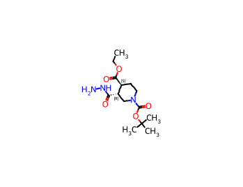 CCOC(=O)[C@H]1CCN(C(=O)OC(C)(C)C)C[C@@H]1C(=O)NN